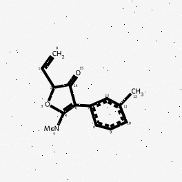 C=CC1OC(NC)=C(c2cccc(C)c2)C1=O